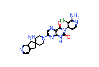 Nc1nccc(-n2c(=O)[nH]c3nc(N4CCC5(CC4)Cc4ccncc4[C@H]5N)cnc3c2=O)c1Cl